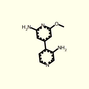 COc1cc(-c2ccncc2N)cc(N)n1